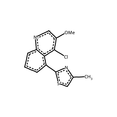 COc1[c]nc2cccc(-c3nc(C)cs3)c2c1Cl